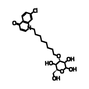 O=c1ccn(CCCCCCCCO[C@H]2[C@H](O)[C@@H](CO)OC(O)[C@@H]2O)c2cc(Cl)ccc12